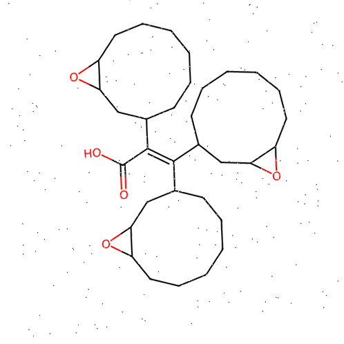 O=C(O)C(=C(C1CCCCCCC2OC2C1)C1CCCCCCC2OC2C1)C1CCCCCCC2OC2C1